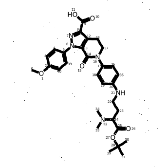 COc1ccc(-n2nc(C(=O)O)c3c2C(=O)N(c2ccc(NCCC(C(=O)OC(C)(C)C)N(C)C)cc2)CC3)cc1